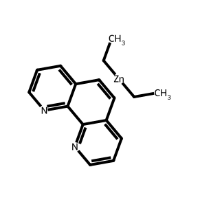 C[CH2][Zn][CH2]C.c1cnc2c(c1)ccc1cccnc12